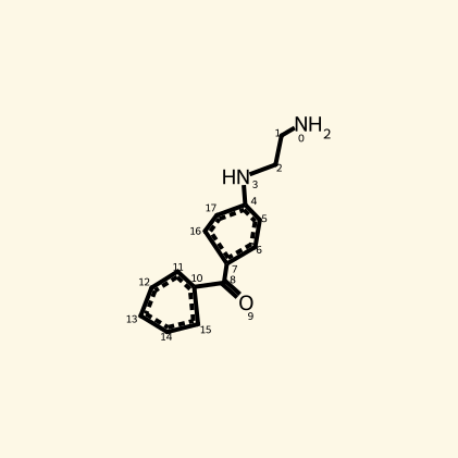 NCCNc1ccc(C(=O)c2ccccc2)cc1